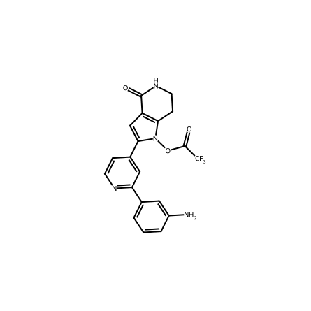 Nc1cccc(-c2cc(-c3cc4c(n3OC(=O)C(F)(F)F)CCNC4=O)ccn2)c1